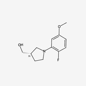 COc1ccc(F)c(N2CC[C@H](CO)C2)c1